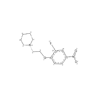 O=[N+]([O-])c1ccc(OCCN2CCCCC2)c(F)c1